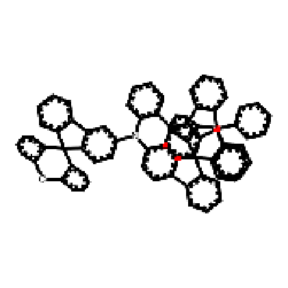 c1ccc(C2(c3ccccc3)c3ccccc3-c3c(-c4ccccc4N(c4ccc5c(c4)-c4ccccc4C54c5ccccc5Oc5ccccc54)c4ccc5c(c4)C4(c6ccccc6Sc6ccccc64)c4ccccc4-5)cccc32)cc1